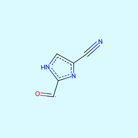 N#Cc1c[nH]c([C]=O)n1